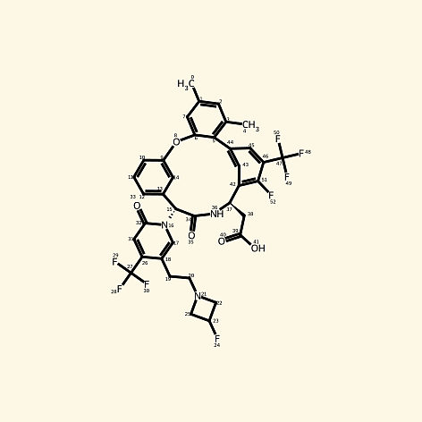 Cc1cc(C)c2c(c1)Oc1cccc(c1)[C@@H](n1cc(CCN3CC(F)C3)c(C(F)(F)F)cc1=O)C(=O)N[C@H](CC(=O)O)c1cc-2cc(C(F)(F)F)c1F